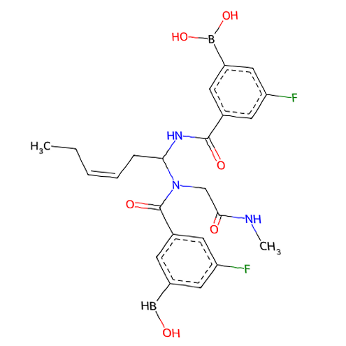 CC/C=C\CC(NC(=O)c1cc(F)cc(B(O)O)c1)N(CC(=O)NC)C(=O)c1cc(F)cc(BO)c1